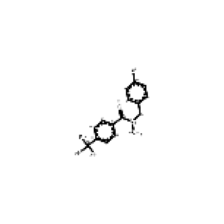 CN(Cc1ccc(F)cc1)C(=O)c1ccc(C(F)(F)F)cc1